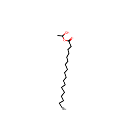 CCC(C)CCCCCCCCCCCCCCCCC(=O)OC(C)O